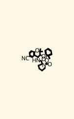 CC1(C)Oc2ccc(C#N)cc2C(NC(=O)C2CCCCN2C(=O)OCc2ccccc2)C1O